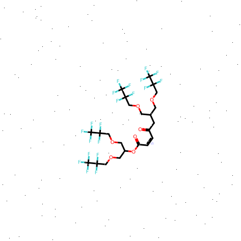 O=C(/C=C\C(=O)OC(COCC(F)(F)C(F)(F)F)COCC(F)(F)C(F)(F)F)CC(COCC(F)(F)C(F)(F)F)COCC(F)(F)C(F)(F)F